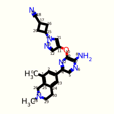 Cc1cc(-c2cnc(N)c(Oc3cnn(C4CC(C#N)C4)c3)n2)cc2c1CN(C)CC2